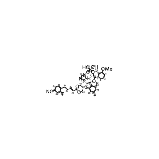 COc1cccc(C(=O)O[C@@](Cn2cncn2)(c2ccc(F)cc2F)[C@@H](C)S[C@H]2CO[C@H](C=CC=Cc3ccc(C#N)cc3F)OC2)c1COP(=O)(O)O